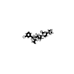 CC(C)C(=O)O[C@H]1[C@@](C)(F)[C@H](n2ccc(-n3cncn3)nc2=O)O[C@]1(F)COC(O)c1cccc(Cl)c1